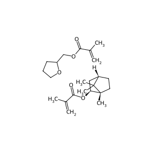 C=C(C)C(=O)OCC1CCCO1.C=C(C)C(=O)O[C@H]1C[C@@H]2CC[C@@]1(C)C2(C)C